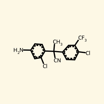 CC(C#N)(c1ccc(Cl)c(C(F)(F)F)c1)c1ccc(N)cc1Cl